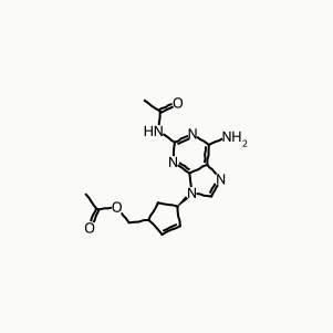 CC(=O)Nc1nc(N)c2ncn([C@H]3C=CC(COC(C)=O)C3)c2n1